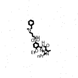 CCCc1nc(C)c2c(=O)[nH]c(-c3cc(S(=O)(=O)NCCCN(C)Cc4ccccc4)ccc3OCC)nn12